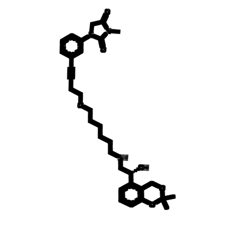 CN1C(=O)CN(c2cccc(C#CCCOCCCCCCNC[C@H](O)c3cccc4c3COC(C)(C)O4)c2)C1=O